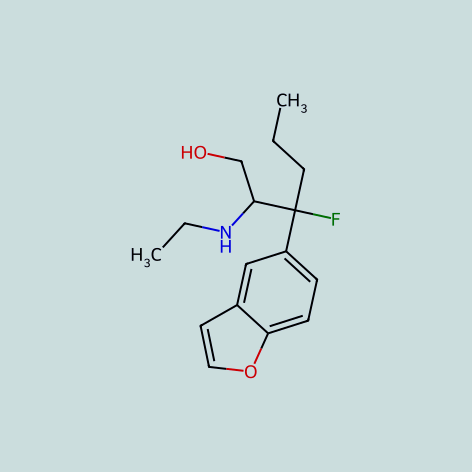 CCCC(F)(c1ccc2occc2c1)C(CO)NCC